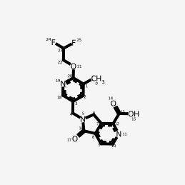 Cc1cc(CN2Cc3c(ccnc3C(=O)O)C2=O)cnc1OCC(F)F